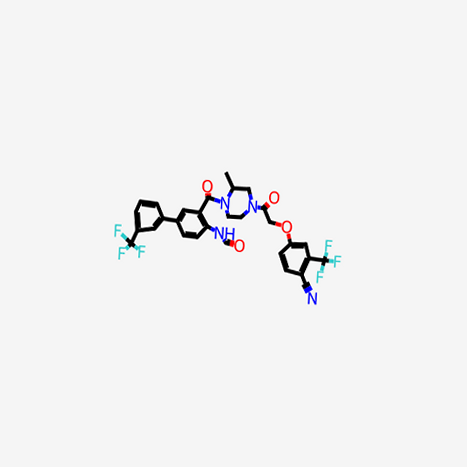 CC1CN(C(=O)COc2ccc(C#N)c(C(F)(F)F)c2)CCN1C(=O)c1cc(-c2cccc(C(F)(F)F)c2)ccc1NC=O